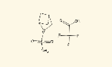 NS(=O)(=O)N1CC2CC1C2.O=C(O)C(F)(F)F